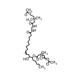 CCCCCC(OC(=O)C[N+](C)(C)CCOC(C)=O)C(O)C/C=C\CCCCCCCC(=O)NCNC(=O)C[N+](C)(C)CCOC(C)=O